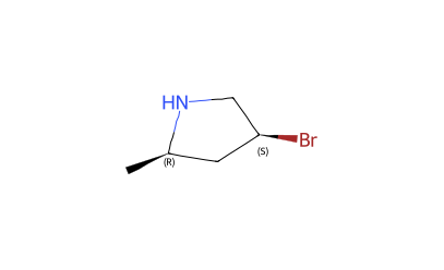 C[C@@H]1C[C@H](Br)CN1